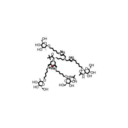 CC(=O)N[C@H]1[C@H](OCCCCCn2cc(CN(CCCC[C@@H](C(=O)C(C)(C)C)N(Cc3cn(CCCCCO[C@@H]4O[C@H](CO)[C@H](O)[C@H](O)[C@H]4C)nn3)Cc3cn(CCCCCO[C@@H]4O[C@H](CO)[C@H](O)[C@H](O)[C@H]4NC(C)=O)nn3)Cc3cn(CCCCCO[C@@H]4O[C@H](CO)[C@H](O)[C@H](O)[C@H]4C)nn3)nn2)O[C@H](CO)[C@H](O)[C@@H]1O